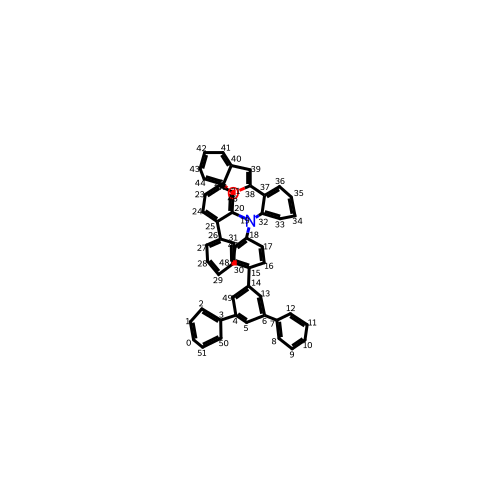 c1ccc(-c2cc(-c3ccccc3)cc(-c3ccc(N(c4ccccc4-c4ccccc4)c4ccccc4-c4cc5ccccc5o4)cc3)c2)cc1